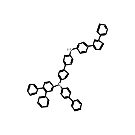 c1ccc(-c2ccc(N(c3ccc(-c4ccc(Nc5ccc(-c6cccc(-c7ccccc7)c6)cc5)cc4)cc3)c3ccc(-c4ccccc4)c(-c4ccccc4)c3)cc2)cc1